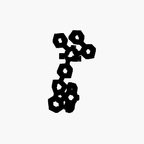 C1=CC(c2ccc(C3NC(c4ccccc4-c4ccccc4)=NC(c4ccccc4)N3)cc2)CC2=C1c1ccccc1C21c2ccccc2Oc2ccccc21